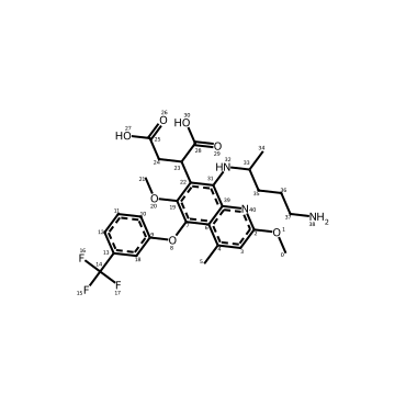 COc1cc(C)c2c(Oc3cccc(C(F)(F)F)c3)c(OC)c(C(CC(=O)O)C(=O)O)c(NC(C)CCCN)c2n1